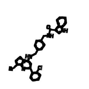 O=C(NCc1ccc(CNc2cc(-c3ccccc3Cl)nc3c(Br)ccn23)cc1)c1c[nH]c2ccccc12